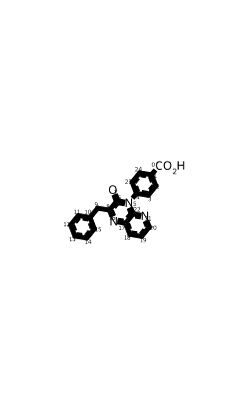 O=C(O)c1ccc(-n2c(=O)c(Cc3ccccc3)nc3cccnc32)cc1